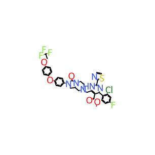 COC(=O)C1=C(CN2CCN3C(=O)N(c4ccc(Oc5ccc(OCC(F)(F)F)cc5)cc4)CC3C2)NC(c2nccs2)=NC1c1ccc(F)cc1Cl